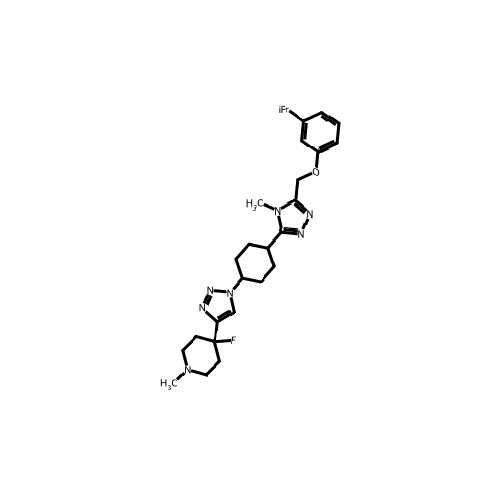 CC(C)c1cccc(OCc2nnc(C3CCC(n4cc(C5(F)CCN(C)CC5)nn4)CC3)n2C)c1